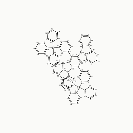 c1ccc([Si](c2ccccc2)(c2ccccc2)c2cccc(-c3c4c5cccc6c7ccccc7n(c4c(-c4cccc([Si](c7ccccc7)(c7ccccc7)c7ccccc7)c4)c4c7cccc8c9ccccc9n(c34)c87)c65)c2)cc1